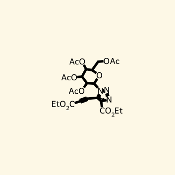 CCOC(=O)C#Cc1c(C(=O)OCC)nnn1C1OC(COC(C)=O)C(OC(C)=O)C(OC(C)=O)C1OC(C)=O